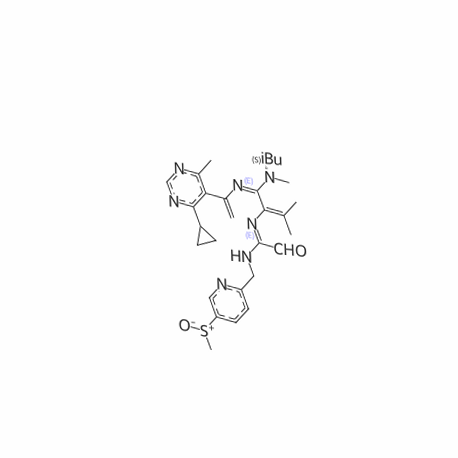 C=C(/N=C(\C(/N=C(\C=O)NCc1ccc([S+](C)[O-])cn1)=C(C)C)N(C)[C@@H](C)CC)c1c(C)ncnc1C1CC1